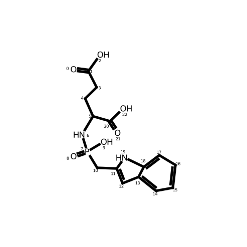 O=C(O)CCC(NP(=O)(O)Cc1cc2ccccc2[nH]1)C(=O)O